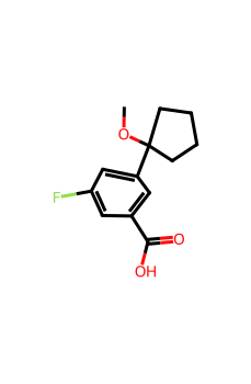 COC1(c2cc(F)cc(C(=O)O)c2)CCCC1